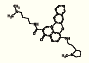 CN(C)CCCCNC(=O)c1cn2c3c(c(NCCC4CCCN4C)ccc3c1=O)Oc1cc3ccccc3cc1-2